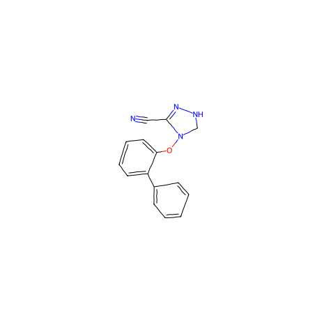 N#CC1=NNCN1Oc1ccccc1-c1ccccc1